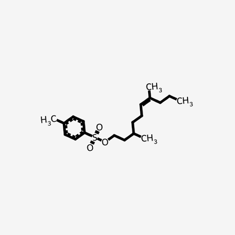 CCCC(C)=CCCC(C)CCOS(=O)(=O)c1ccc(C)cc1